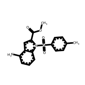 COC(=O)c1cc2c(N)cccc2n1S(=O)(=O)c1ccc(C)cc1